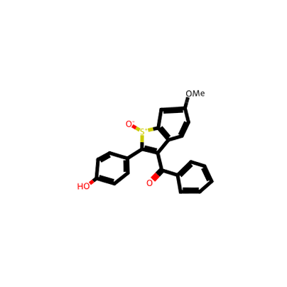 COc1ccc2c(C(=O)c3ccccc3)c(-c3ccc(O)cc3)[s+]([O-])c2c1